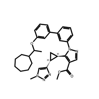 COC(=O)c1cnn(-c2cccc(-c3cccc(OC(C)C4CCCCCC4)c3)c2)c1[C@@H]1C[C@H]1c1cn(C)nn1